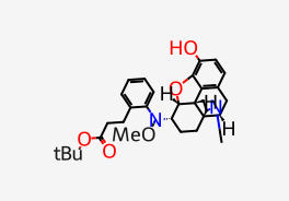 CON(c1ccccc1CCC(=O)OC(C)(C)C)[C@H]1CC[C@H]2[C@H]3Cc4ccc(O)c5c4[C@@]2(CCN3C)[C@H]1O5